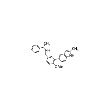 COc1ccc(CN[C@H](C)c2ccccc2)cc1-c1ccc2[nH]c(C)cc2c1